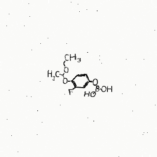 CCOC(C)Oc1ccc(OB(O)O)cc1F